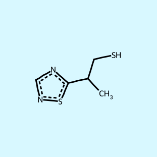 CC(CS)c1ncns1